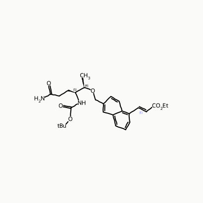 CCOC(=O)/C=C/c1cccc2cc(CO[C@H](C)[C@H](CCC(N)=O)NC(=O)OC(C)(C)C)ccc12